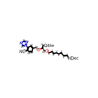 CCCCCCCCCCCCCCCCCCOC[C@H](COC)OCc1ccc(C#N)c(-n2cncn2)c1